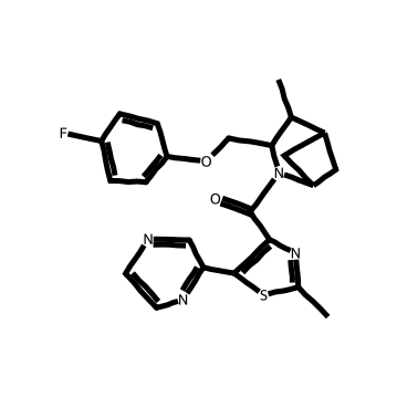 Cc1nc(C(=O)N2C3CC(C3)C(C)C2COc2ccc(F)cc2)c(-c2cnccn2)s1